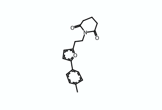 Cc1ccc(-c2ccc(CCN3C(=O)CCCC3=O)o2)cc1